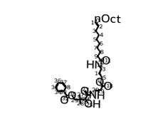 CCCCCCCCC=CCCCCCCCC(=O)NCCCOC(=O)CCNC(=O)C(O)C(C)(C)COC(=O)c1ccccc1